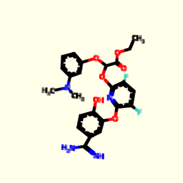 CCOC(=O)C(Oc1cccc(N(C)C)c1)Oc1nc(Oc2cc(C(=N)N)ccc2O)c(F)cc1F